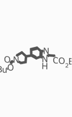 CCOC(=O)Cc1nc2ccc(C3CCN(C(=O)OC(C)(C)C)CC3)cc2[nH]1